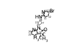 CC1(C)C(=O)N([C@H]2C[C@H](Nc3ccc(Br)cn3)C2)c2ncccc21